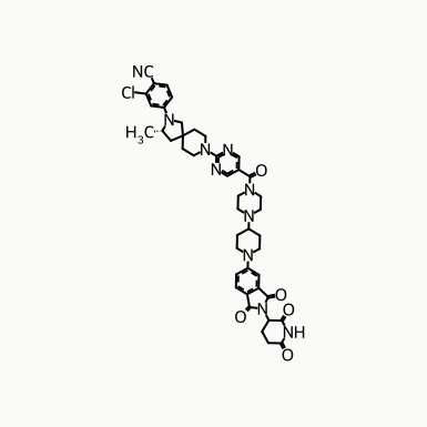 C[C@H]1CC2(CCN(c3ncc(C(=O)N4CCN(C5CCN(c6ccc7c(c6)C(=O)N(C6CCC(=O)NC6=O)C7=O)CC5)CC4)cn3)CC2)CN1c1ccc(C#N)c(Cl)c1